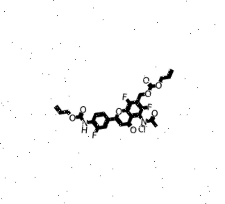 C=CCOC(=O)Nc1ccc(-c2cc(=O)c3c(N(Cl)C(C)=O)c(F)c(COC(=O)OCC=C)c(F)c3o2)cc1F